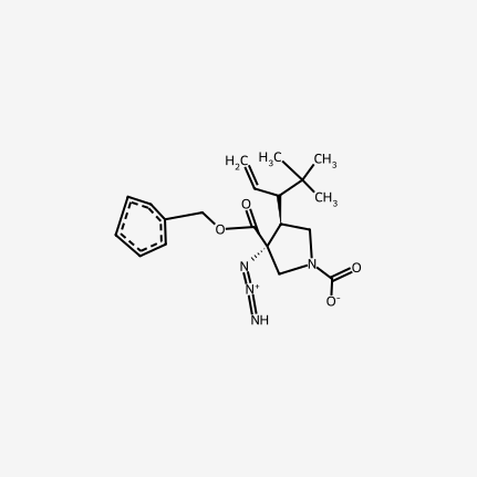 C=CC([C@H]1CN(C(=O)[O-])C[C@@]1(N=[N+]=N)C(=O)OCc1ccccc1)C(C)(C)C